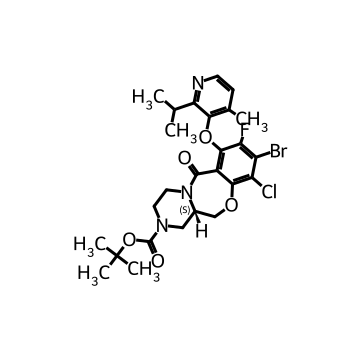 Cc1ccnc(C(C)C)c1Oc1c(F)c(Br)c(Cl)c2c1C(=O)N1CCN(C(=O)OC(C)(C)C)C[C@H]1CO2